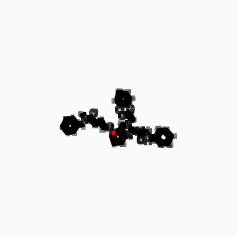 CN(Cc1ccccc1)C(=O)CCCOc1cccc2c1CN(CC(=O)Oc1ccccc1Cl)C(NC(=O)NCC1CCCCC1)=N2